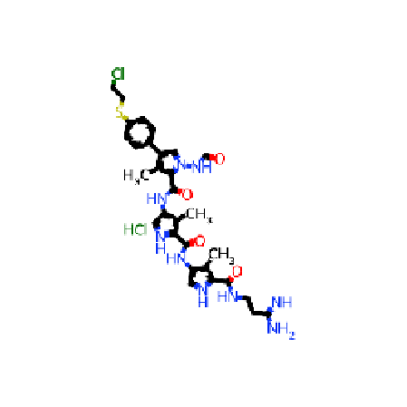 Cc1c(NC(=O)c2[nH]cc(NC(=O)c3c(C)c(-c4ccc(SCCCl)cc4)cn3NC=O)c2C)c[nH]c1C(=O)NCCC(=N)N.Cl